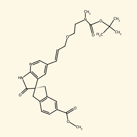 COC(=O)c1ccc2c(c1)C[C@]1(C2)C(=O)Nc2ncc(/C=C/COCCN(C)C(=O)OC(C)(C)C)cc21